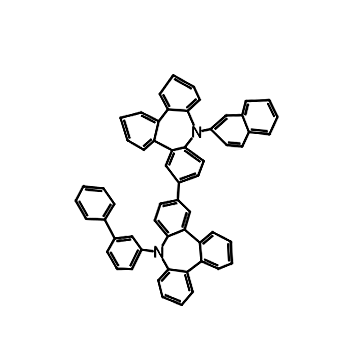 c1ccc(-c2cccc(N3c4ccccc4-c4ccccc4-c4cc(-c5ccc6c(c5)-c5ccccc5-c5ccccc5N6c5ccc6ccccc6c5)ccc43)c2)cc1